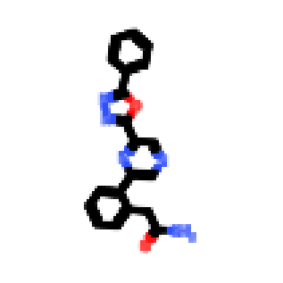 NC(=O)Cc1ccccc1-c1cncc(-c2nnc(-c3ccccc3)o2)n1